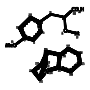 CCOC(Cc1ccc(OC)cc1)C(=O)O.c1ccc2c(c1)c1ccc3cc1n2-3